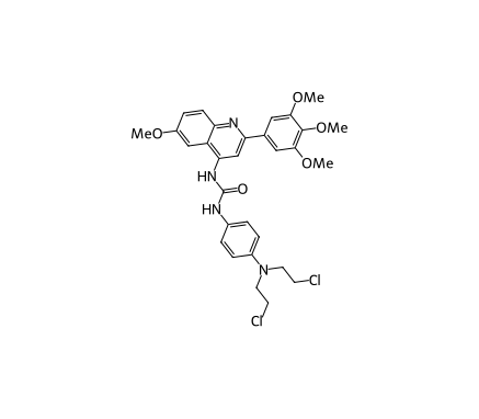 COc1ccc2nc(-c3cc(OC)c(OC)c(OC)c3)cc(NC(=O)Nc3ccc(N(CCCl)CCCl)cc3)c2c1